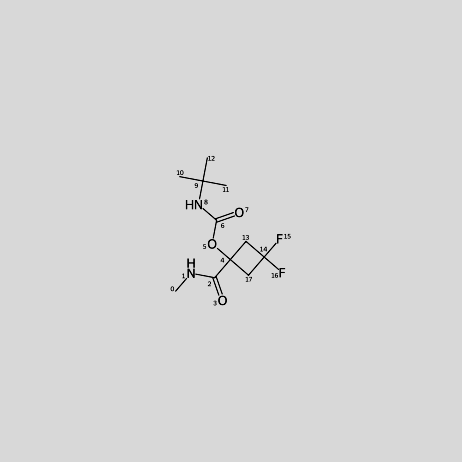 CNC(=O)C1(OC(=O)NC(C)(C)C)CC(F)(F)C1